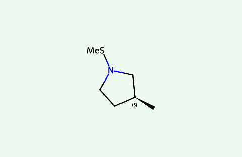 CSN1CC[C@H](C)C1